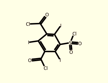 O=C(Cl)c1c(I)c(C(=O)Cl)c(I)c(S(=O)(=O)Cl)c1I